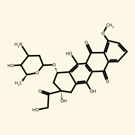 COc1cccc2c1C(=O)c1c(O)c3c(c(O)c1C2=O)C[C@@](O)(C(=O)CO)C[C@@H]3OC1CC(N)C(O)[C@H](C)O1